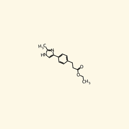 CCOC(=O)CCc1ccc(-c2c[nH]c(C)n2)cc1